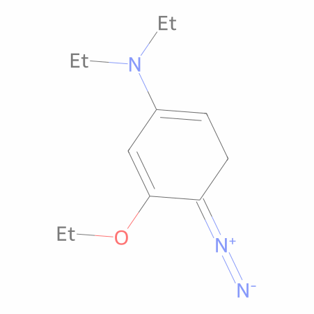 CCOC1=CC(N(CC)CC)=CCC1=[N+]=[N-]